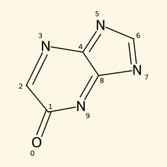 O=C1C=NC2=NC=NC2=N1